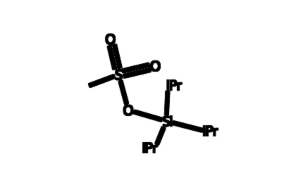 CC(C)[Si](OS(C)(=O)=O)(C(C)C)C(C)C